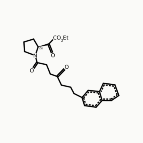 CCOC(=O)C(=O)[C@@H]1CCCN1C(=O)CCC(=O)CCCc1ccc2ccccc2c1